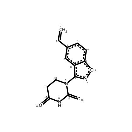 C=Cc1ccc2onc(N3CCC(=O)NC3=O)c2c1